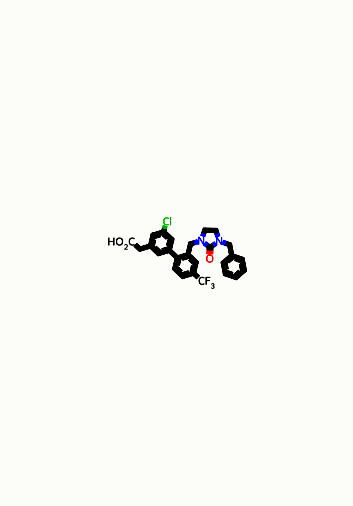 O=C(O)Cc1cc(Cl)cc(-c2ccc(C(F)(F)F)cc2CN2CCN(Cc3ccccc3)C2=O)c1